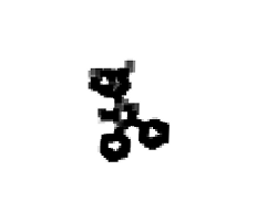 O=C1CC(n2nc(-c3ccccc3)n(-c3ccccc3)c2=S)C2COC1O2